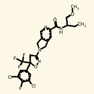 CCC(COC)NC(=O)c1cc2c(cn1)CN(C1=NOC(c3cc(Cl)c(F)c(Cl)c3)(C(F)(F)F)C1)C2